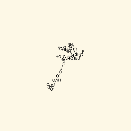 CC(C)(C)C(c1cc(-c2cc(F)ccc2F)cn1Cc1ccccc1)N(CCCNC(=O)C(CC(N)=O)NC(=O)Cc1ccncc1)C(=O)CSCC(NC(=O)CCOCCOCCOCCOCCNC(=O)CCCC(=O)ON1C(=O)CCC1=O)C(=O)O